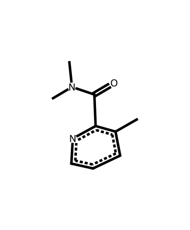 Cc1cccnc1C(=O)N(C)C